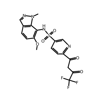 COc1ccc2cnn(C)c2c1NS(=O)(=O)c1ccc(C(=O)CC(=O)C(F)(F)F)nc1